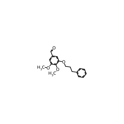 COc1cc(C=O)cc(OCCCc2ccccc2)c1OC